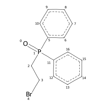 O=P(CCBr)(c1ccccc1)c1ccccc1